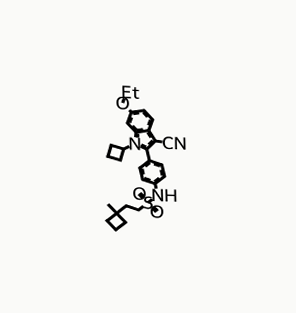 CCOc1ccc2c(C#N)c(-c3ccc(NS(=O)(=O)CCC4(C)CCC4)cc3)n(C3CCC3)c2c1